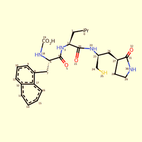 CC(C)C[C@H](NC(=O)[C@H](Cc1cccc2ccccc12)NC(=O)O)C(=O)N[C@H](CS)C[C@@H]1CCNC1=O